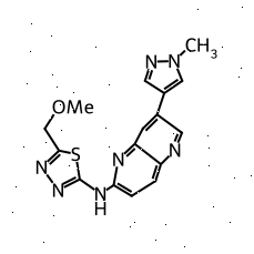 COCc1nnc(Nc2ccc3ncc(-c4cnn(C)c4)cc3n2)s1